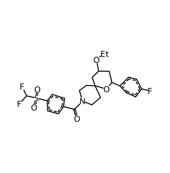 CCOC1CC(c2ccc(F)cc2)OC2(CCN(C(=O)c3ccc(S(=O)(=O)C(F)F)cc3)CC2)C1